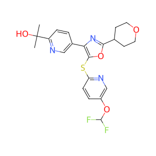 CC(C)(O)c1ccc(-c2nc(C3CCOCC3)oc2Sc2ccc(OC(F)F)cn2)cn1